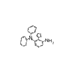 Nc1cccc(N(c2ccccc2)c2ccccc2)c1Cl